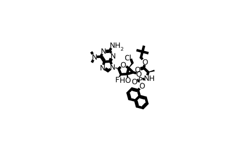 C[C@@H](NP(=O)(Oc1cccc2ccccc12)OC1[C@@]2(CCl)O[C@@H](n3cnc4c(N(C)C)nc(N)nc43)[C@H](F)[C@@]12O)C(=O)OCC(C)(C)C